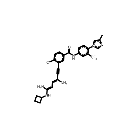 Cc1cn(-c2ccc(NC(=O)c3ccc(Cl)c(C#C/C(N)=C/C=C(\N)NC4CCC4)c3)cc2C(F)(F)F)cn1